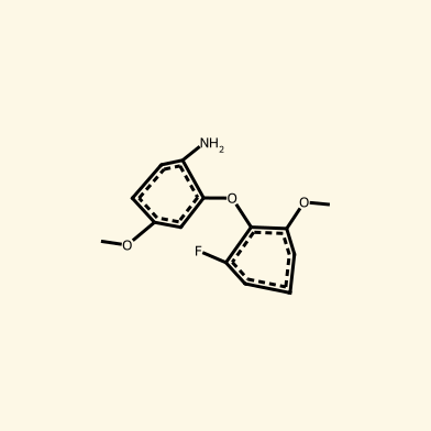 COc1ccc(N)c(Oc2c(F)cccc2OC)c1